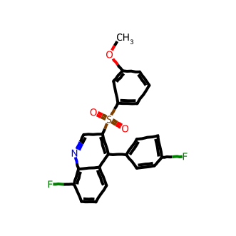 COc1cccc(S(=O)(=O)c2cnc3c(F)cccc3c2-c2ccc(F)cc2)c1